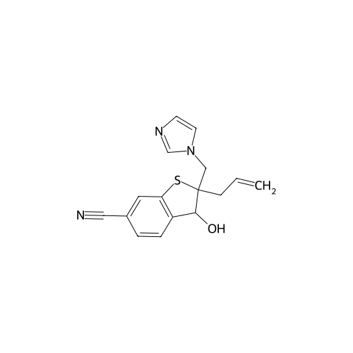 C=CCC1(Cn2ccnc2)Sc2cc(C#N)ccc2C1O